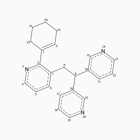 C1=C(c2ncccc2CC(c2cccnc2)c2cccnc2)CCCC1